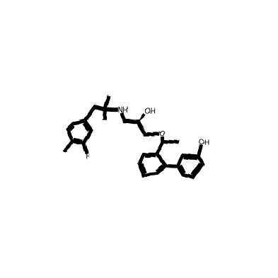 Cc1ccc(CC(C)(C)NC[C@@H](O)COC(C)c2ccccc2-c2cccc(O)c2)cc1F